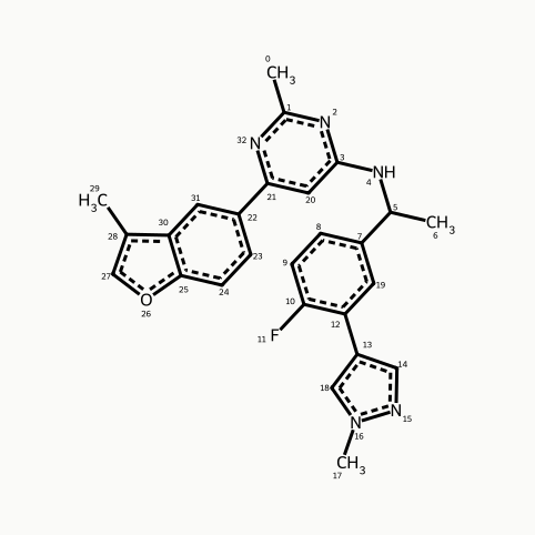 Cc1nc(NC(C)c2ccc(F)c(-c3cnn(C)c3)c2)cc(-c2ccc3occ(C)c3c2)n1